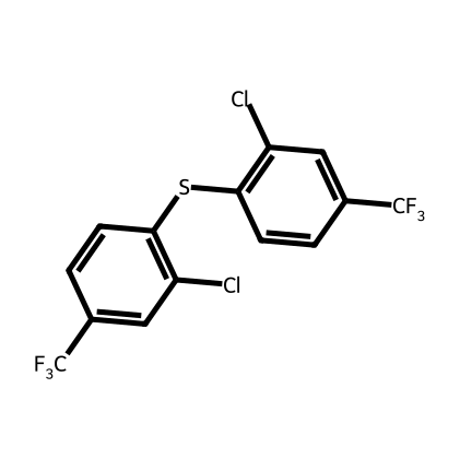 FC(F)(F)c1ccc(Sc2ccc(C(F)(F)F)cc2Cl)c(Cl)c1